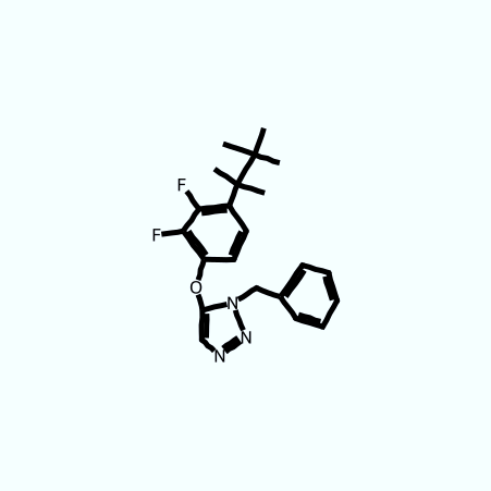 CC(C)(C)C(C)(C)c1ccc(Oc2cnnn2Cc2ccccc2)c(F)c1F